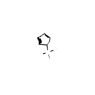 C[CH2][Pt]([CH2]C)([CH2]C)[CH]1C=CC=C1